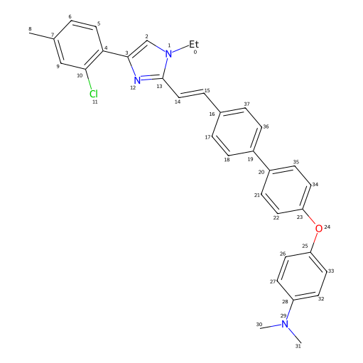 CCn1cc(-c2ccc(C)cc2Cl)nc1/C=C/c1ccc(-c2ccc(Oc3ccc(N(C)C)cc3)cc2)cc1